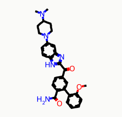 COc1ccccc1-c1cc(C(=O)c2nc3cc(N4CCC(N(C)C)CC4)ccc3[nH]2)ccc1C(N)=O